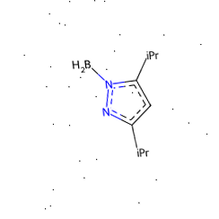 Bn1nc(C(C)C)cc1C(C)C